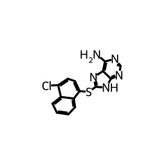 Nc1ncnc2[nH]c(Sc3ccc(Cl)c4ccccc34)nc12